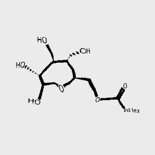 CCCCCCC(=O)OC[C@H]1OC(O)[C@H](O)[C@@H](O)[C@@H]1O